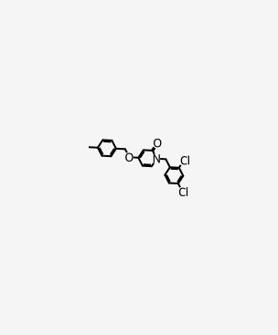 Cc1ccc(COc2ccn(Cc3ccc(Cl)cc3Cl)c(=O)c2)cc1